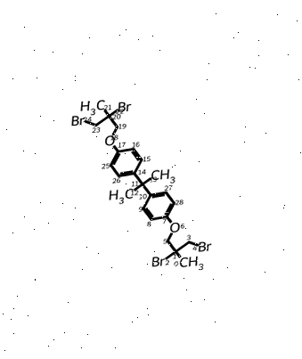 CC(Br)(CBr)COc1ccc(C(C)(C)c2ccc(OCC(C)(Br)CBr)cc2)cc1